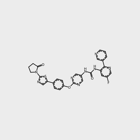 O=C(Nc1cnc(Oc2ccc(-c3cnc(N4CCCC4=O)s3)cc2)nc1)Nc1cc(F)cnc1-c1cccnc1